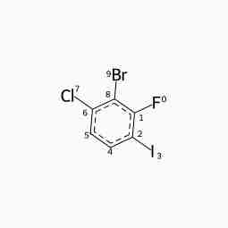 Fc1c(I)ccc(Cl)c1Br